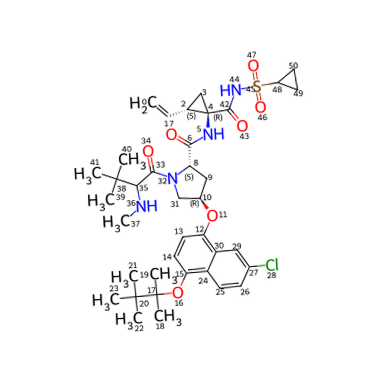 C=C[C@@H]1C[C@]1(NC(=O)[C@@H]1C[C@@H](Oc2ccc(OC(C)(C)C(C)(C)C)c3ccc(Cl)cc23)CN1C(=O)C(NC)C(C)(C)C)C(=O)NS(=O)(=O)C1CC1